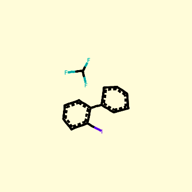 FC(F)F.Ic1ccccc1-c1ccccc1